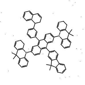 CC1(C)C2=C(CCC=C2)N(c2ccc3c(-c4ccc5c(c4)C(C)(C)c4ccccc4-5)c4cc(N5C6=C(CCC=C6)C(C)(C)c6ccccc65)ccc4c(-c4cccc(C5CC=Cc6ccccc65)c4)c3c2)c2ccccc21